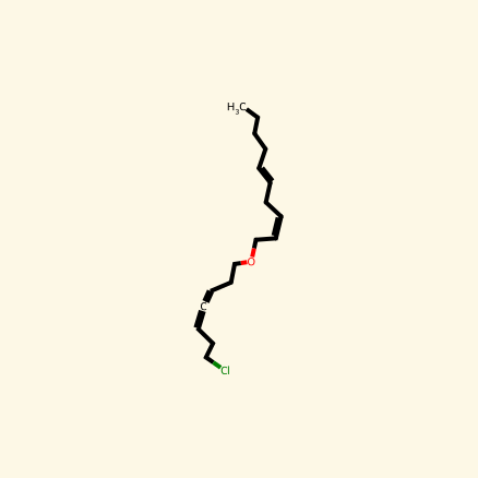 CCCCC=CC/C=C\COCCC=C=CCCCl